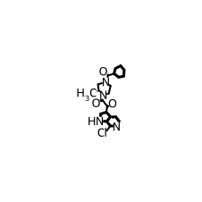 C[C@@H]1CN(C(=O)c2ccccc2)CCN1C(=O)C(=O)c1c[nH]c2c(Cl)nccc12